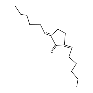 CCCCC/C=C1/CC/C(=C\CCCCC)C1=O